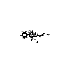 CCCCCCCCCCCCCCC(C)CC(C)(O)C1CCCCC1